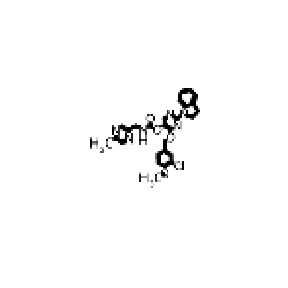 COc1ccc(COc2nc(N3CCc4ccccc43)ncc2OC(=O)NCc2cnc(C)cn2)cc1Cl